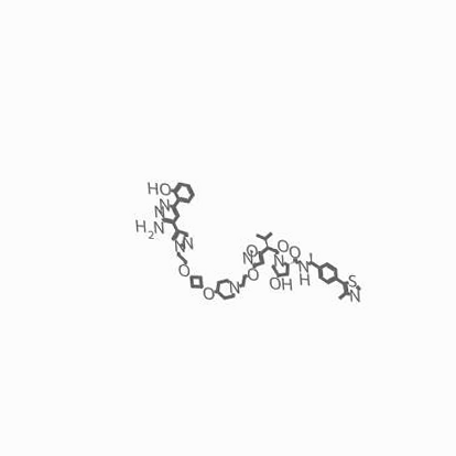 Cc1ncsc1-c1ccc([C@H](C)NC(=O)[C@@H]2C[C@@H](O)CN2C(=O)[C@@H](c2cc(OCCN3CCC(OC4CC(OCCn5cc(-c6cc(-c7ccccc7O)nnc6N)cn5)C4)CC3)no2)C(C)C)cc1